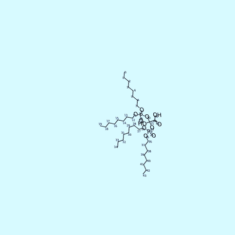 CCCCCCCCOP(=O)(OCCCCCCCC)OC(O)(OP(=O)(OCCCCCCCC)OCCCCCCCC)C(=O)O